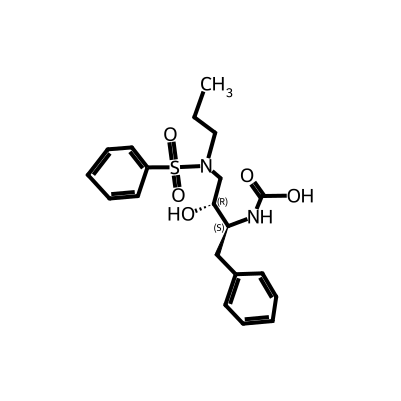 CCCN(C[C@@H](O)[C@H](Cc1ccccc1)NC(=O)O)S(=O)(=O)c1ccccc1